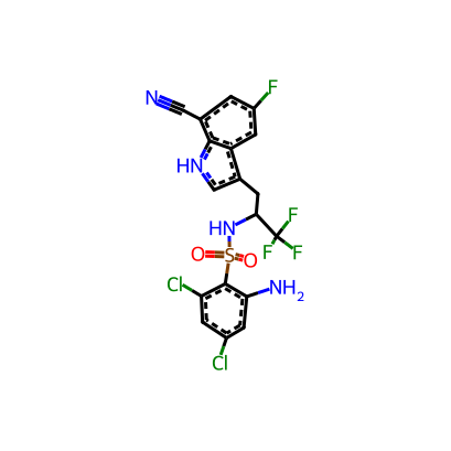 N#Cc1cc(F)cc2c(CC(NS(=O)(=O)c3c(N)cc(Cl)cc3Cl)C(F)(F)F)c[nH]c12